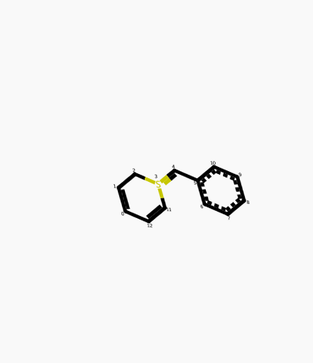 C1=CCS(=Cc2ccccc2)C=C1